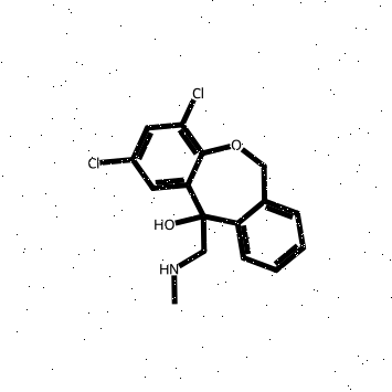 CNCC1(O)c2ccccc2COc2c(Cl)cc(Cl)cc21